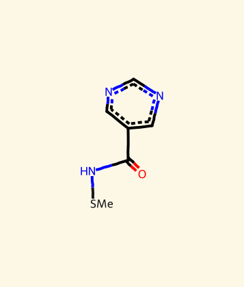 CSNC(=O)c1cncnc1